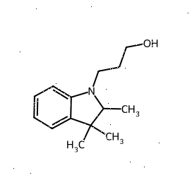 CC1N(CCCO)c2ccccc2C1(C)C